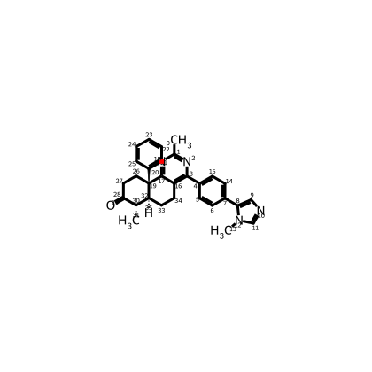 Cc1nc(-c2ccc(-c3cncn3C)cc2)c2c(n1)[C@@]1(c3ccccc3)CCC(=O)[C@@H](C)[C@@H]1CC2